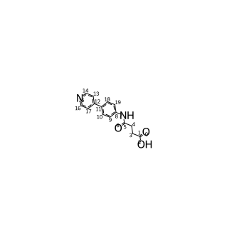 O=C(O)CCC(=O)Nc1ccc(-c2ccncc2)cc1